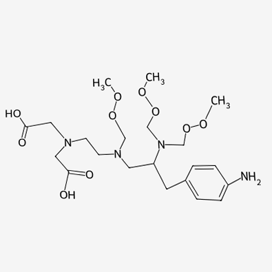 COOCN(CCN(CC(=O)O)CC(=O)O)CC(Cc1ccc(N)cc1)N(COOC)COOC